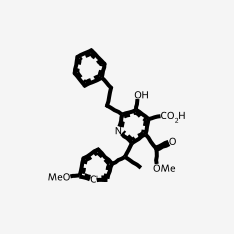 COC(=O)c1c(C(C)c2ccc(OC)cc2)nc(CCc2ccccc2)c(O)c1C(=O)O